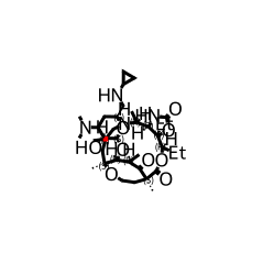 CC[C@H]1OC(=O)[C@@]2(C)CCO[C@@](C)(C[C@@H](C)CN[C@H](C)[C@H]3NC(=O)O[C@@]31CC)[C@H](O[C@@H]1O[C@H](CNC3CC3)CC(N(C)C)C1O)[C@@H](C)C2=O